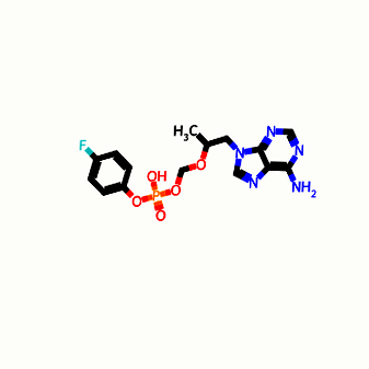 CC(Cn1cnc2c(N)ncnc21)OCOP(=O)(O)Oc1ccc(F)cc1